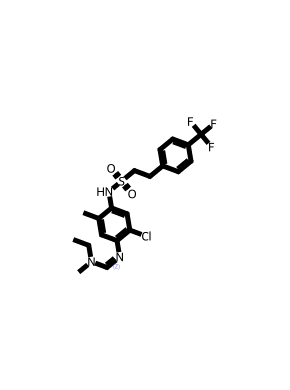 CCN(C)/C=N\c1cc(C)c(NS(=O)(=O)CCc2ccc(C(F)(F)F)cc2)cc1Cl